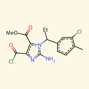 CCC(c1ccc(C)c(Cl)c1)n1c(N)nc(C(=O)Cl)c1C(=O)OC